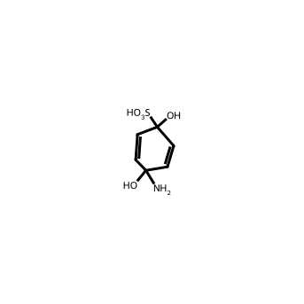 NC1(O)C=CC(O)(S(=O)(=O)O)C=C1